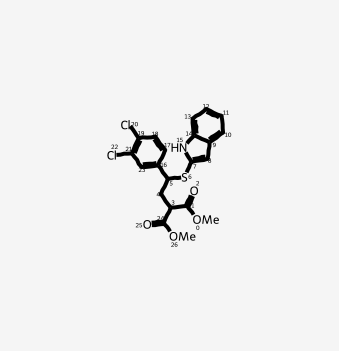 COC(=O)C(CC(Sc1cc2ccccc2[nH]1)c1ccc(Cl)c(Cl)c1)C(=O)OC